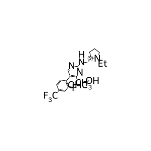 CCN1CCC[C@H]1CNc1ncc(-c2ccc(C(F)(F)F)cc2F)c(C)n1.O=CO